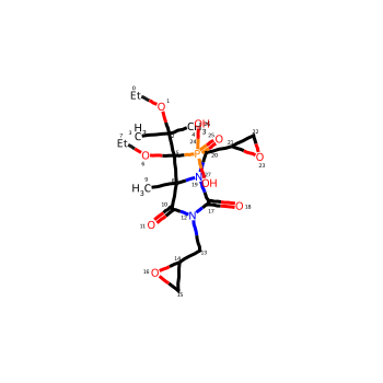 CCOC(C)(C)C(OCC)(C1(C)C(=O)N(CC2CO2)C(=O)N1CC1CO1)P(=O)(O)O